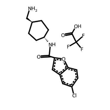 NC[C@H]1CC[C@H](NC(=O)c2cc3cc(Cl)ccc3o2)CC1.O=C(O)C(F)(F)F